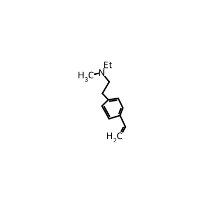 C=Cc1ccc(CCN(C)CC)cc1